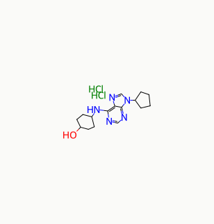 Cl.Cl.OC1CCC(Nc2ncnc3c2ncn3C2CCCC2)CC1